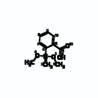 CO[Si](C)(OC)c1ccccc1C(=O)O